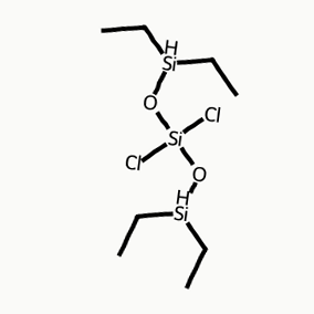 CC[SiH](CC)O[Si](Cl)(Cl)O[SiH](CC)CC